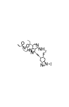 C=CC(=O)N1CC[C@H](n2nc(C#Cc3cc4ncn(C5CC5)c4cc3F)c3c(N)ncc(C(=O)CC)c32)C1